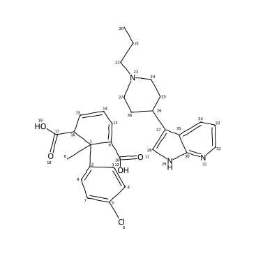 CC1(c2ccc(Cl)cc2)C(C(=O)O)=CC=CC1C(=O)O.CCCN1CCC(c2c[nH]c3ncccc23)CC1